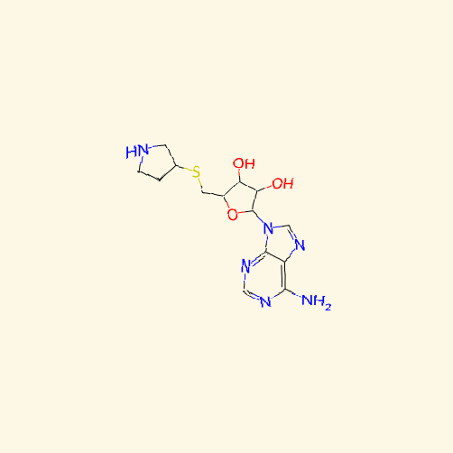 Nc1ncnc2c1ncn2C1OC(CSC2CCNC2)C(O)C1O